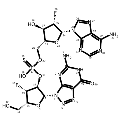 Nc1nc2c(nnn2[C@@H]2O[C@H](CO)[C@H](F)[C@H]2OP(O)(=S)OC[C@H]2O[C@@H](n3cnc4c(N)ncnc43)[C@@H](F)[C@@H]2O)c(=O)[nH]1